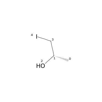 C[C@H](O)CI